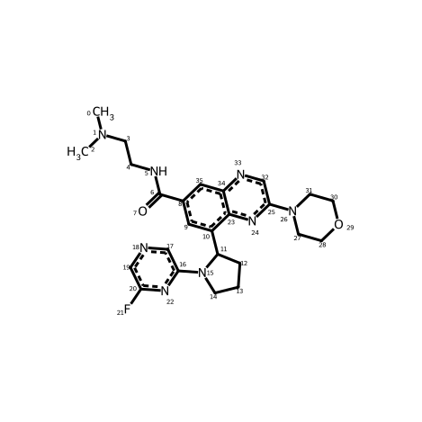 CN(C)CCNC(=O)c1cc(C2CCCN2c2cncc(F)n2)c2nc(N3CCOCC3)cnc2c1